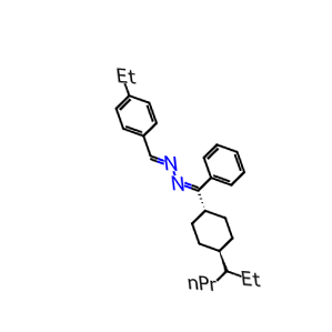 CCCC(CC)[C@H]1CC[C@H](C(=NN=Cc2ccc(CC)cc2)c2ccccc2)CC1